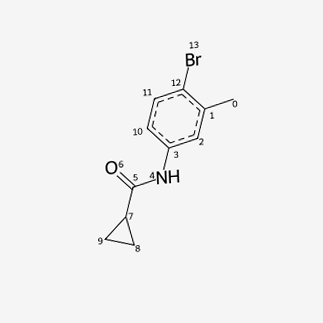 Cc1cc(NC(=O)C2CC2)ccc1Br